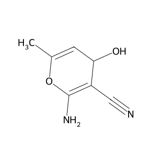 CC1=CC(O)C(C#N)=C(N)O1